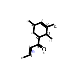 C/C=C/C(=O)C1CC(C)C=C(C)C1C